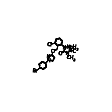 CN1NN(c2cccc(Cl)c2COc2ccn(-c3ccc(Br)cc3)n2)C(=O)N1C